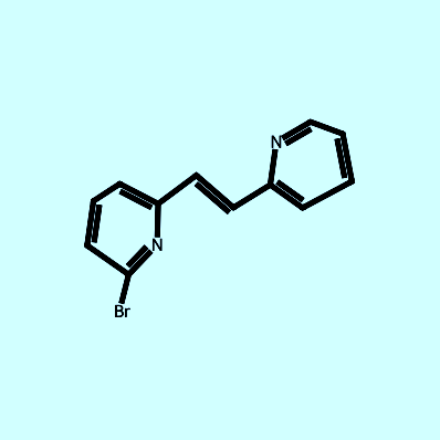 Brc1cccc(/C=C/c2ccccn2)n1